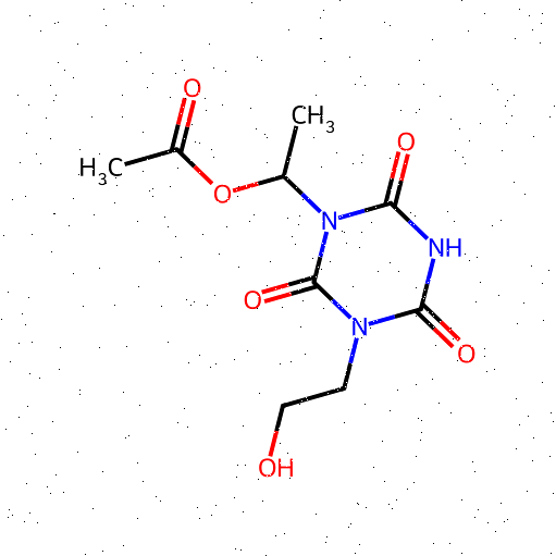 CC(=O)OC(C)n1c(=O)[nH]c(=O)n(CCO)c1=O